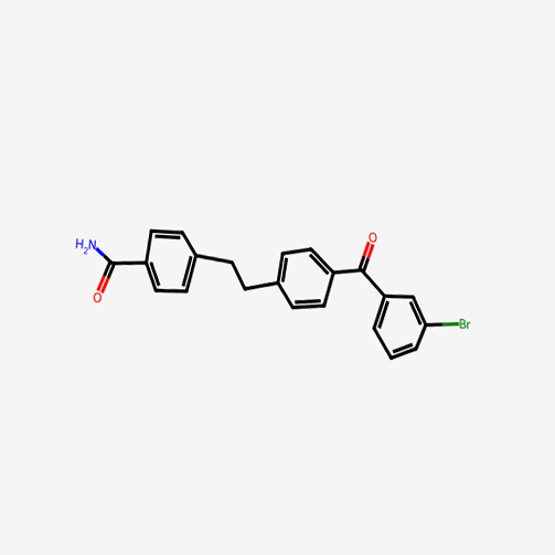 NC(=O)c1ccc(CCc2ccc(C(=O)c3cccc(Br)c3)cc2)cc1